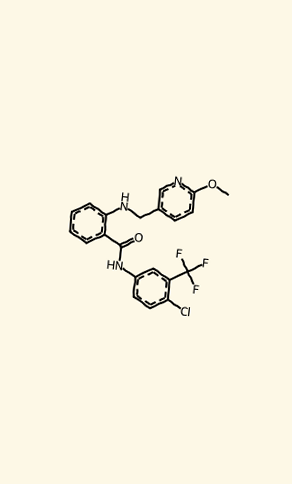 COc1ccc(CNc2ccccc2C(=O)Nc2ccc(Cl)c(C(F)(F)F)c2)cn1